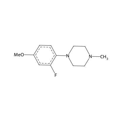 COc1ccc(N2CCN(C)CC2)c(F)c1